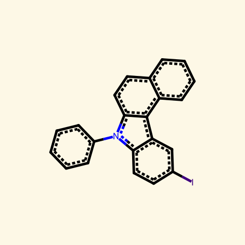 Ic1ccc2c(c1)c1c3ccccc3ccc1n2-c1ccccc1